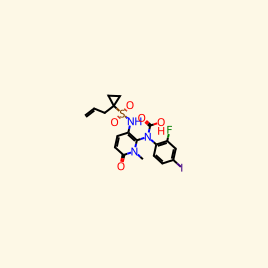 C=CCC1(S(=O)(=O)Nc2ccc(=O)n(C)c2N(C(=O)O)c2ccc(I)cc2F)CC1